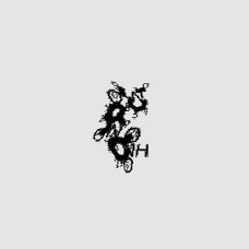 CCN1CCCC[C@H]1C(C)Oc1ccc2c(c1)CN(C1CCC(=O)NC1=O)C2=O